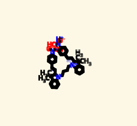 CC1(C)C(/C=C/c2ccc([NH+]([O-])O)cc2)=[N+](CCCC[N+]2=C(/C=C/c3ccc([NH+]([O-])O)cc3)C(C)(C)c3ccccc32)c2ccccc21